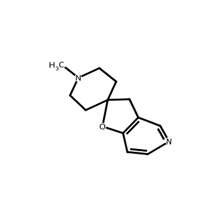 CN1CCC2(CC1)Cc1cnccc1O2